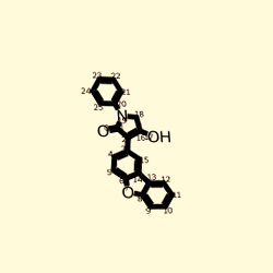 O=C1C(c2ccc3oc4ccccc4c3c2)=C(O)CN1c1ccccc1